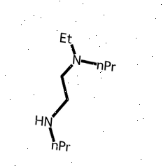 CCCNCCN(CC)CCC